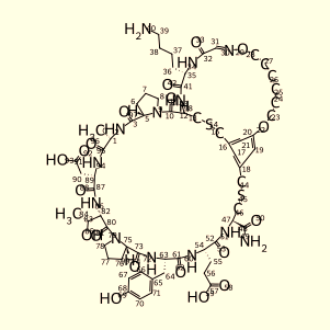 C[C@@H]1NC(=O)[C@@H]2CCCN2C(=O)[C@@H]2CSCc3cc(cc(c3)OCCCCCCO/N=C/C(=O)N[C@@H](CCCCN)C(=O)N2)CSC[C@@H](C(N)=O)NC(=O)[C@H](CCC(=O)O)NC(=O)[C@H](Cc2ccc(O)cc2)NC(=O)[C@@H]2CCCN2C(=O)[C@H]([C@@H](C)O)NC(=O)[C@H](CC(=O)O)NC1=O